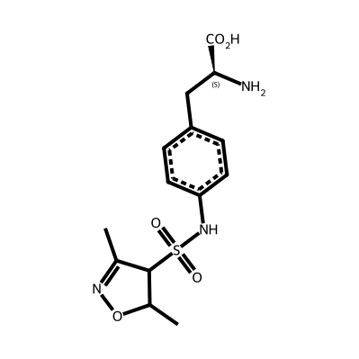 CC1=NOC(C)C1S(=O)(=O)Nc1ccc(C[C@H](N)C(=O)O)cc1